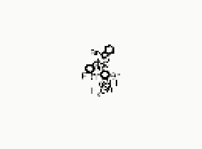 CS(=O)(=O)Nc1ccc(S(=O)(=O)N(Cc2ccc(F)c(C(F)(F)F)c2)c2sc3ccccc3c2Br)cc1Br